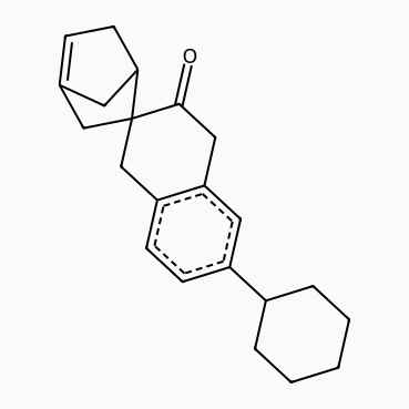 O=C1Cc2cc(C3CCCCC3)ccc2CC12CC1=CCC2C1